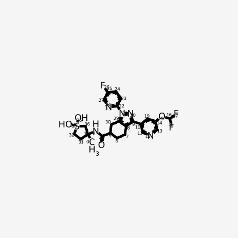 CC1(NC(=O)C2CCc3c(-c4cncc(OC(F)F)c4)nn(-c4ccc(F)cn4)c3C2)CCS(O)(O)C1